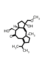 COC[C@@]1(O)CC[C@@H]2/C1=C\[C@@]1(C)CCC(C(C)C)=C1CC(=O)[C@H]2CO